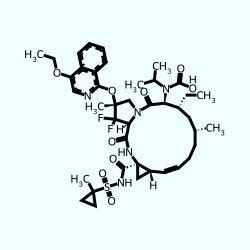 CCOc1cnc(O[C@]2(C)CN3C(=O)[C@@H](N(C(=O)O)C(C)C)[C@H](CC)C[C@H](C)CC/C=C\[C@@H]4C[C@@]4(C(=O)NS(=O)(=O)C4(C)CC4)NC(=O)[C@H]3C2(F)F)c2ccccc12